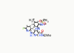 CONC(=O)c1cnc(Nc2cccc(F)n2)cc1Nc1ccc(C)cc1NS(C)(=O)=O